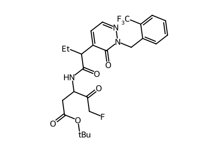 CCC(C(=O)NC(CC(=O)OC(C)(C)C)C(=O)CF)c1ccnn(Cc2ccccc2C(F)(F)F)c1=O